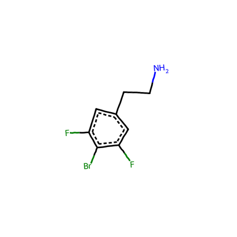 NCCc1cc(F)c(Br)c(F)c1